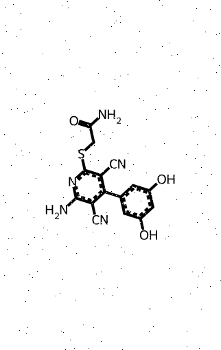 N#Cc1c(N)nc(SCC(N)=O)c(C#N)c1-c1cc(O)cc(O)c1